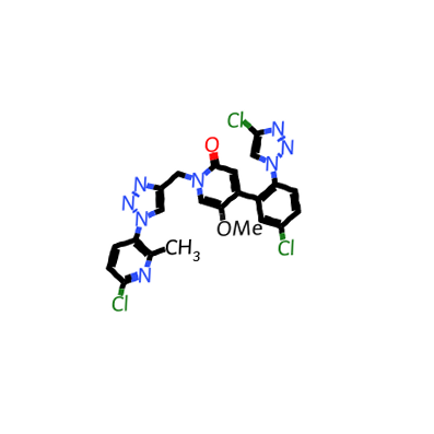 COc1cn(Cc2cn(-c3ccc(Cl)nc3C)nn2)c(=O)cc1-c1cc(Cl)ccc1-n1cc(Cl)nn1